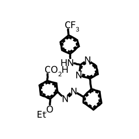 CCOc1ccc(C(=O)O)cc1/N=N/c1ccccc1-c1ccnc(Nc2ccc(C(F)(F)F)cc2)n1